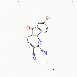 N#CC1=C\CCC2=C(/N=C\1C#N)c1ccc(Br)cc1C2=O